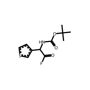 CC(C)(C)OC(=O)NC(C(=O)F)c1ccsc1